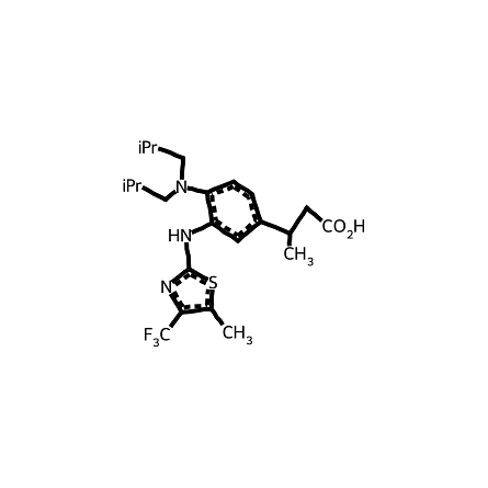 Cc1sc(Nc2cc(C(C)CC(=O)O)ccc2N(CC(C)C)CC(C)C)nc1C(F)(F)F